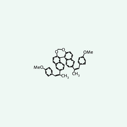 COc1ccc(/C=C(/C)c2ccc3c4c(ccc3c2)OCOc2ccc3cc(/C(C)=C\c5ccc(OC)cc5)ccc3c2-4)cc1